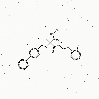 Cc1cccnc1CCNC(=O)C(C)(OCc1ccc(-c2ccccc2)cc1)C(=O)NO